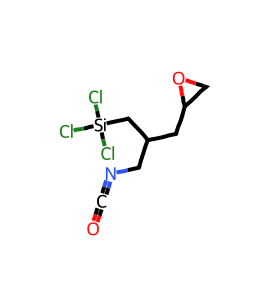 O=C=NCC(CC1CO1)C[Si](Cl)(Cl)Cl